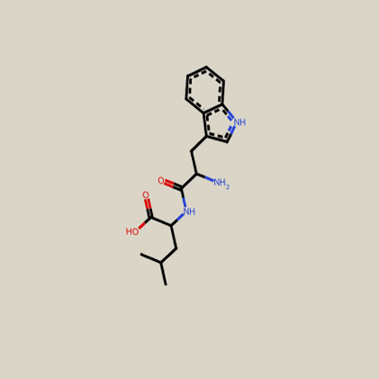 CC(C)CC(NC(=O)C(N)Cc1c[nH]c2ccccc12)C(=O)O